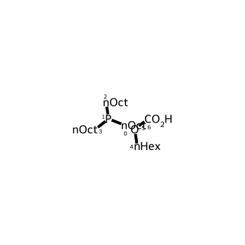 CCCCCCCCP(CCCCCCCC)CCCCCCCC.CCCCCCOC(=O)O